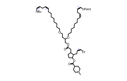 CC/C=C\CC1C(CC(=O)OCC(CCOCCCCCCCC/C=C\C/C=C\CCCC)OCCCCCCC/C=C\C/C=C\CCCCC)CCC1OC(=O)C1CCN(C)CC1